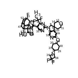 CC(F)(F)c1nc(N2CC3(CCOCC3)c3cc(O[C@H]4CC[C@H](N5CC(F)(F)C5)CC4)ncc32)ncc1C(=O)N[C@]1(C(=O)O)[C@@H]2CC3C[C@H]1C[C@@](F)(C3)C2